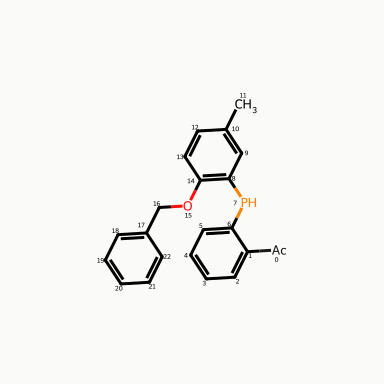 CC(=O)c1ccccc1Pc1cc(C)ccc1OCc1ccccc1